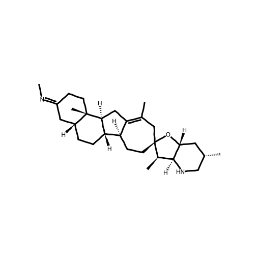 CN=C1CC[C@@]2(C)[C@H](CC[C@H]3[C@@H]4CC[C@@]5(CC(C)=C4C[C@@H]32)O[C@@H]2C[C@H](C)CN[C@H]2[C@H]5C)C1